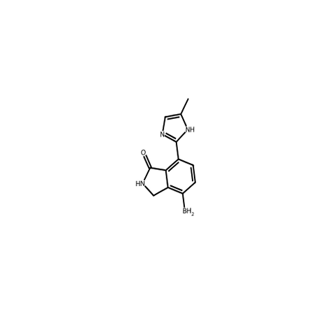 Bc1ccc(-c2ncc(C)[nH]2)c2c1CNC2=O